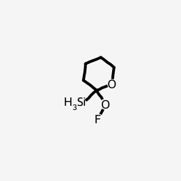 FOC1([SiH3])CCCCO1